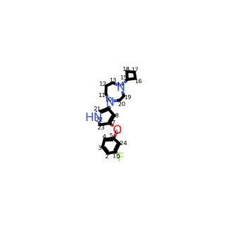 Fc1cccc(OC2=CC(N3CCCN(C4CCC4)CC3)=[C]NC2)c1